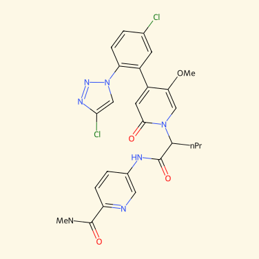 CCCC(C(=O)Nc1ccc(C(=O)NC)nc1)n1cc(OC)c(-c2cc(Cl)ccc2-n2cc(Cl)nn2)cc1=O